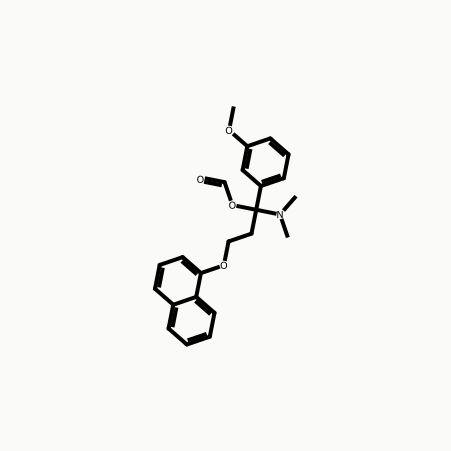 COc1cccc(C(CCOc2cccc3ccccc23)(OC=O)N(C)C)c1